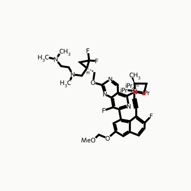 COCOc1cc(-c2nc(N3CC[C@@H]3C)c3cnc(OC[C@]4(CN(C)CCN(C)C)CC4(F)F)nc3c2F)c2c(C#C[Si](C(C)C)(C(C)C)C(C)C)c(F)ccc2c1